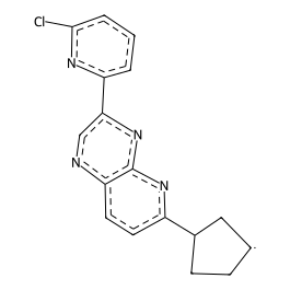 Clc1cccc(-c2cnc3ccc(C4C[CH]CC4)nc3n2)n1